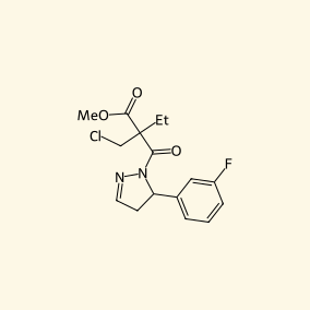 CCC(CCl)(C(=O)OC)C(=O)N1N=CCC1c1cccc(F)c1